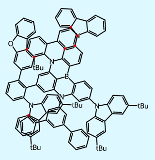 CC(C)(C)c1ccc2c(c1)c1cc(C(C)(C)C)ccc1n2-c1ccc2c(c1)N(c1cc(-c3ccccc3)cc(-c3ccccc3)c1)c1cc(-c3c(-c4ccc5c(c4)oc4ccccc45)cccc3-n3c4ccc(C(C)(C)C)cc4c4cc(C(C)(C)C)ccc43)cc3c1B2c1ccc(-n2c4ccccc4c4ccccc42)cc1N3c1c(-c2ccccc2)cccc1C(C)(C)C